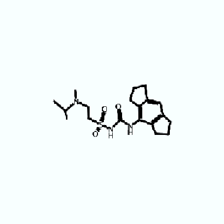 CC(C)N(C)CCS(=O)(=O)NC(=O)Nc1c2c(cc3c1CCC3)CCC2